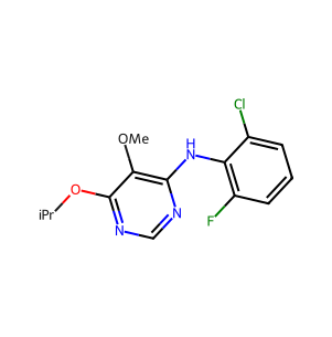 COc1c(Nc2c(F)cccc2Cl)ncnc1OC(C)C